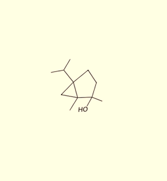 CC(C)C12CCC(C)(O)C1(C)C2